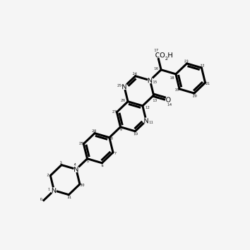 CN1CCN(c2ccc(-c3cnc4c(=O)n(C(C(=O)O)c5ccccc5)cnc4c3)cc2)CC1